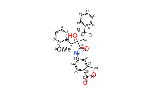 COc1ccccc1CC(O)(CC(C)(C)c1ccccc1)C(=O)Nc1ccc2c(c1)COC2=O